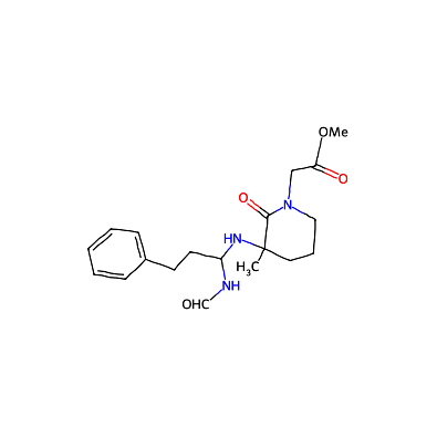 COC(=O)CN1CCCC(C)(NC(CCc2ccccc2)NC=O)C1=O